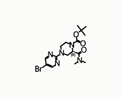 CN(C)C(=O)[C@H]1CN(c2ncc(Br)cn2)CCN1C(=O)OC(C)(C)C